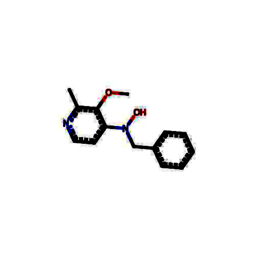 COc1c(N(O)Cc2ccccc2)ccnc1C